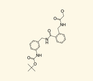 CC(C)(C)OC(=O)Nc1cccc(CNC(=O)c2ccccc2CNC(=O)C[O])c1